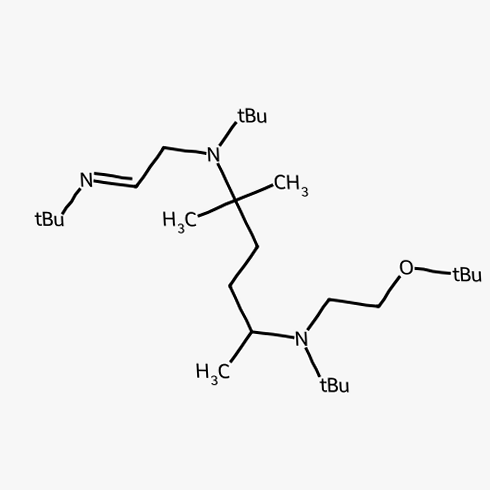 CC(CCC(C)(C)N(C/C=N/C(C)(C)C)C(C)(C)C)N(CCOC(C)(C)C)C(C)(C)C